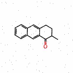 CC1CCc2cc3ccccc3cc2C1=O